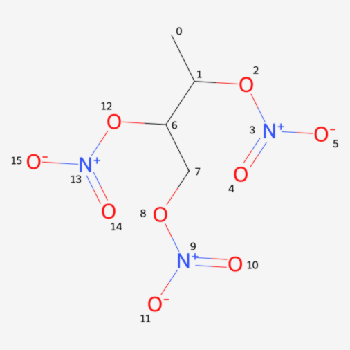 CC(O[N+](=O)[O-])C(CO[N+](=O)[O-])O[N+](=O)[O-]